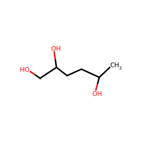 CC(O)CCC(O)[CH]O